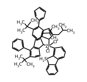 CC(C)CC1=Cc2c(ccc(C(C)(C)C)c2-c2ccccc2)[CH]1[Zr]([Cl])([Cl])([c]1cccc2c1[SiH2]c1ccccc1-2)[CH]1C(CC(C)C)=Cc2c1ccc(C(C)(C)C)c2-c1ccccc1